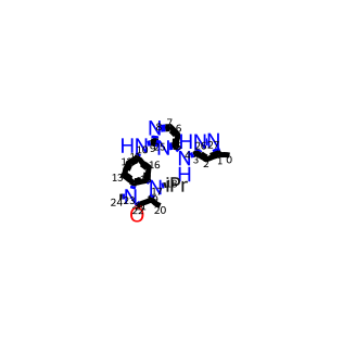 Cc1cc(Nc2ccnc(Nc3ccc4c(c3)N(C(C)C)C(C)C(=O)N4C)n2)[nH]n1